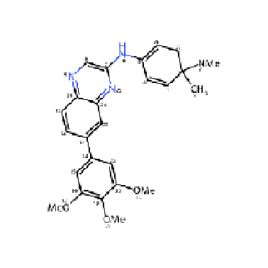 CNC1(C)C=CC(Nc2cnc3ccc(-c4cc(OC)c(OC)c(OC)c4)cc3n2)=CC1